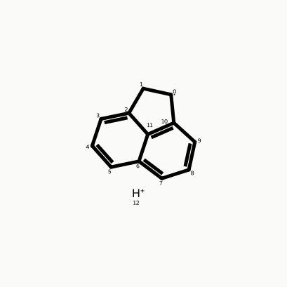 [CH]1Cc2cccc3cccc1c23.[H+]